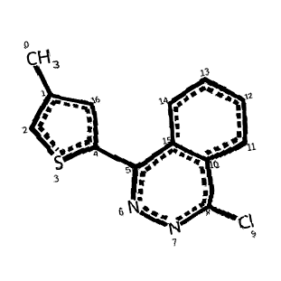 Cc1csc(-c2nnc(Cl)c3ccccc23)c1